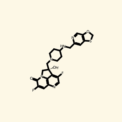 O=c1c(F)cc2ncc(F)c3c2n1C[C@@]3(O)CN1CCC(NCc2cc3c(cn2)OCS3)CC1